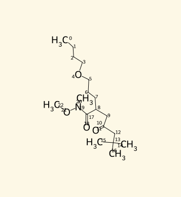 CCCCOCCCC(CC(=O)CC(C)(C)C)C(=O)N(C)OC